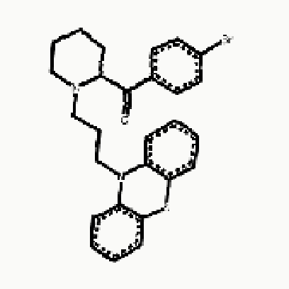 O=C(c1ccc(Br)cc1)C1CCCCN1CCCN1c2ccccc2Sc2ccccc21